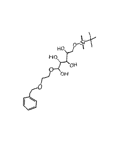 CC(C)(C)[Si](C)(C)OCC(O)C(O)C(O)C(O)OCCOCc1ccccc1